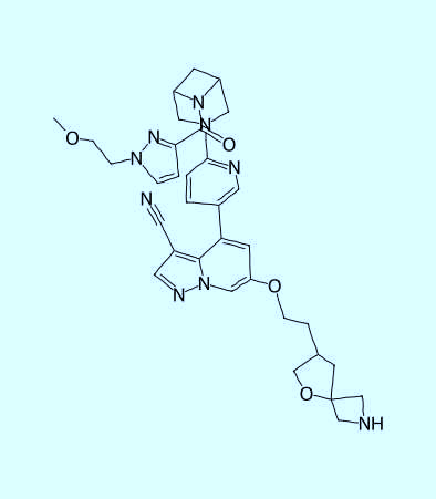 COCCn1ccc(C(=O)N2C3CC2CN(c2ccc(-c4cc(OCCC5COC6(CNC6)C5)cn5ncc(C#N)c45)cn2)C3)n1